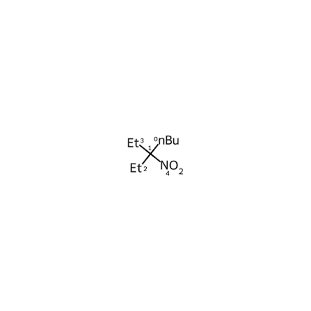 CCCCC(CC)(CC)[N+](=O)[O-]